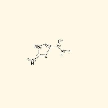 CNC(=O)c1c[nH]c(NC)c1